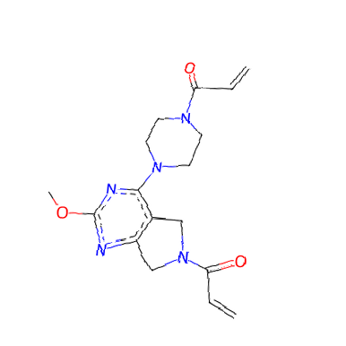 C=CC(=O)N1CCN(c2nc(OC)nc3c2CN(C(=O)C=C)C3)CC1